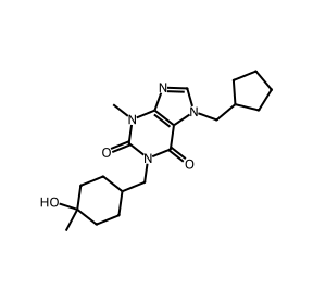 Cn1c(=O)n(CC2CCC(C)(O)CC2)c(=O)c2c1ncn2CC1CCCC1